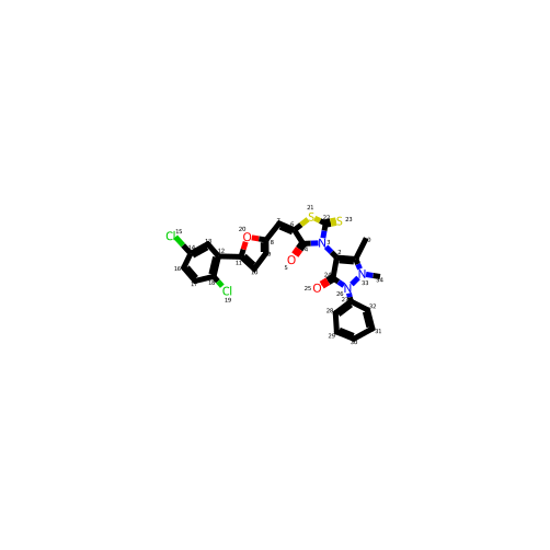 Cc1c(N2C(=O)/C(=C\c3ccc(-c4cc(Cl)ccc4Cl)o3)SC2=S)c(=O)n(-c2ccccc2)n1C